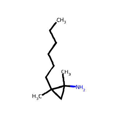 CCCCCCC1(C)CC1(C)N